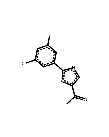 CC(=O)c1cnc(-c2cc(F)cc(Cl)c2)s1